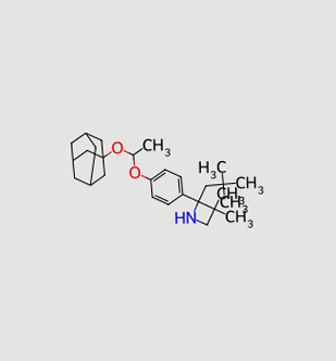 CC(Oc1ccc(C2(CC(C)(C)C)NCC2(C)C)cc1)OC12CC3CC(CC(C3)C1)C2